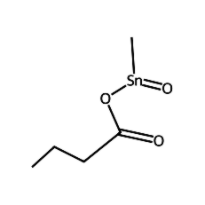 CCCC(=O)[O][Sn]([CH3])=[O]